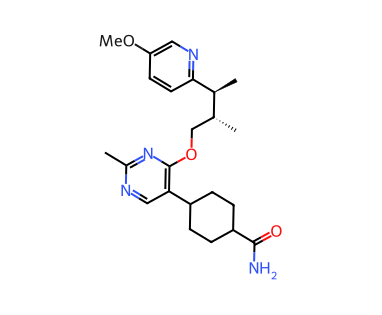 COc1ccc([C@@H](C)[C@H](C)COc2nc(C)ncc2C2CCC(C(N)=O)CC2)nc1